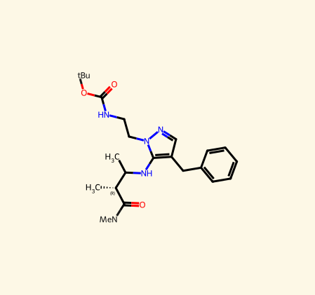 CNC(=O)[C@H](C)C(C)Nc1c(Cc2ccccc2)cnn1CCNC(=O)OC(C)(C)C